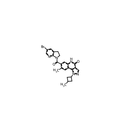 Cc1cc2c(cc1C(=O)N1CCc3cc(Br)cnc31)[nH]c(=O)c1cnn(C3CC(C)C3)c12